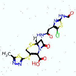 Cc1nnc(SC2=C(C(=O)O)N3C(=O)[C@@H](NC(=O)Cc4nc(NC=O)sc4Cl)[C@H]3SC2)s1